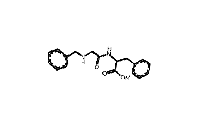 O=C(CNCc1ccccc1)NC(Cc1ccccc1)C(=O)O